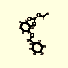 CCOC1Oc2cccc(OCc3ccccc3)c2O1